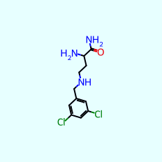 NC(=O)C(N)CCNCc1cc(Cl)cc(Cl)c1